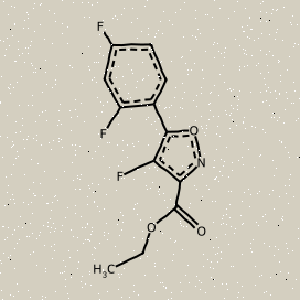 CCOC(=O)c1noc(-c2ccc(F)cc2F)c1F